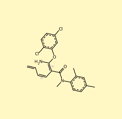 C=C/C=C\C(C(=O)N(C)c1ccc(C)cc1C)=C(/N)Oc1cc(Cl)ccc1Cl